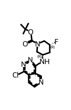 CC(C)(C)OC(=O)N1C[C@H](F)C[C@@H](Nc2nnc(Cl)c3ccncc23)C1